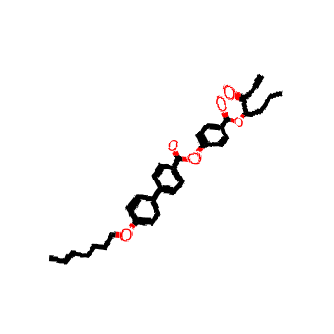 C#CC(=O)C(CCC)OC(=O)c1ccc(OC(=O)c2ccc(-c3ccc(OCCCCCCC)cc3)cc2)cc1